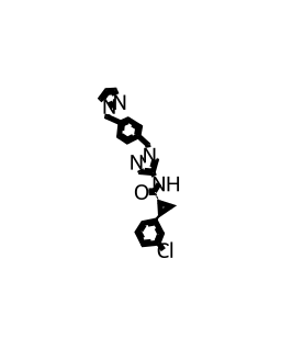 O=C(Nc1cnn(Cc2ccc(Cn3cccn3)cc2)c1)[C@@H]1C[C@H]1c1cccc(Cl)c1